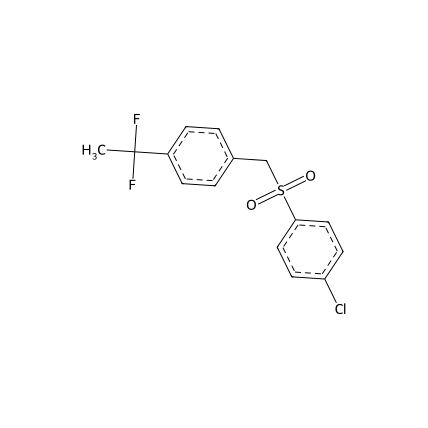 CC(F)(F)c1ccc(CS(=O)(=O)c2ccc(Cl)cc2)cc1